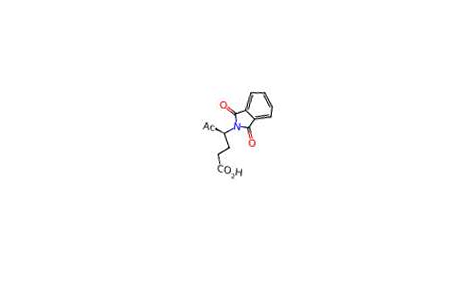 CC(=O)[C@H](CCC(=O)O)N1C(=O)c2ccccc2C1=O